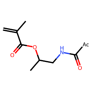 C=C(C)C(=O)OC(C)CNC(=O)C(C)=O